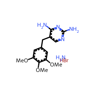 Br.COc1cc(Cc2cnc(N)nc2N)cc(OC)c1OC.N